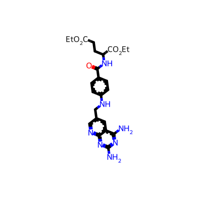 CCOC(=O)CCC(NC(=O)c1ccc(NCc2cnc3nc(N)nc(N)c3c2)cc1)C(=O)OCC